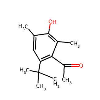 CC(=O)c1c(C(C)(C)C)cc(C)c(O)c1C